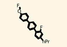 CCCc1ccc(-c2ccc(-c3ccc(OCF)cc3)cc2)c(F)c1